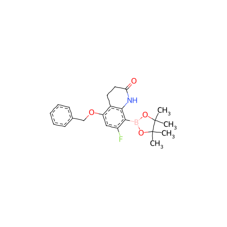 CC1(C)OB(c2c(F)cc(OCc3ccccc3)c3c2NC(=O)CC3)OC1(C)C